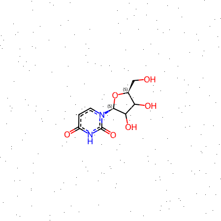 O=c1[c]cn([C@H]2O[C@@H](CO)C(O)C2O)c(=O)[nH]1